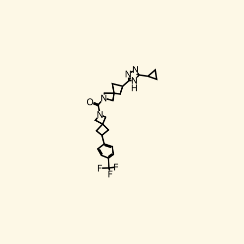 O=C(N1CC2(CC(c3ccc(C(F)(F)F)cc3)C2)C1)N1CC2(CC(c3nnc(C4CC4)[nH]3)C2)C1